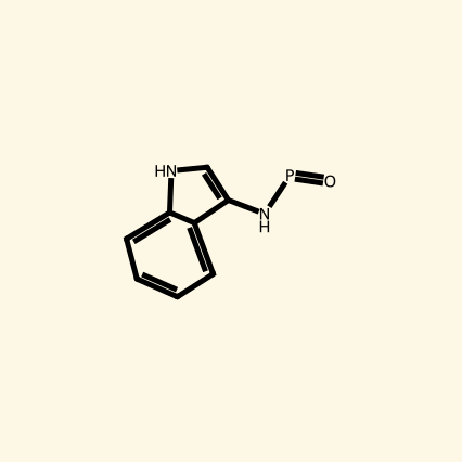 O=PNc1c[nH]c2ccccc12